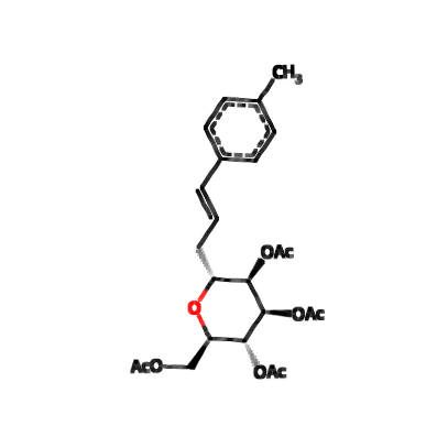 CC(=O)OC[C@H]1O[C@H](C/C=C/c2ccc(C)cc2)[C@@H](OC(C)=O)[C@@H](OC(C)=O)[C@@H]1OC(C)=O